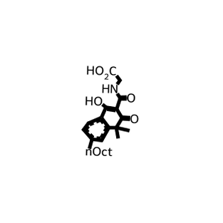 CCCCCCCCc1ccc2c(c1)C(C)(C)C(=O)C(C(=O)NCC(=O)O)=C2O